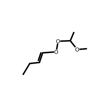 CCC=COOC(C)OC